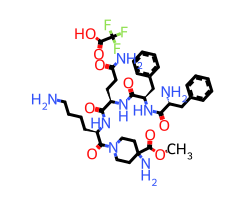 COC(=O)C1(N)CCN(C(=O)[C@@H](CCCCN)NC(=O)[C@@H](CCC(N)=O)NC(=O)[C@@H](Cc2ccccc2)NC(=O)[C@H](N)Cc2ccccc2)CC1.O=C(O)C(F)(F)F